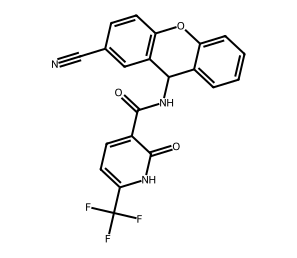 N#Cc1ccc2c(c1)C(NC(=O)c1ccc(C(F)(F)F)[nH]c1=O)c1ccccc1O2